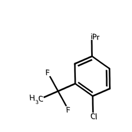 CC(C)c1ccc(Cl)c(C(C)(F)F)c1